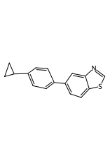 c1nc2cc(-c3ccc(C4CC4)cc3)ccc2s1